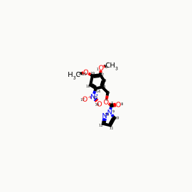 COc1cc(COC(=O)n2cccn2)c([N+](=O)[O-])cc1OC